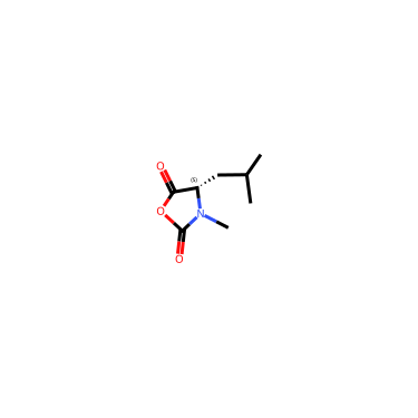 CC(C)C[C@H]1C(=O)OC(=O)N1C